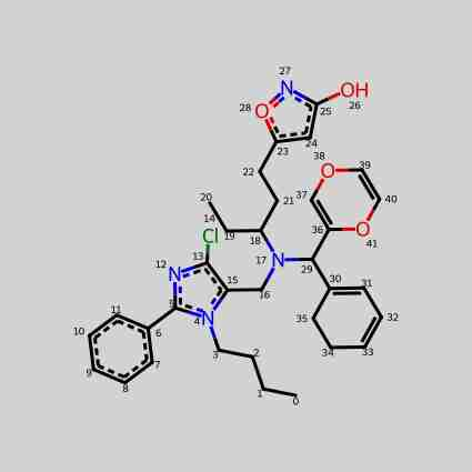 CCCCn1c(-c2ccccc2)nc(Cl)c1CN(C(CC)CCc1cc(O)no1)C(C1=CC=CCC1)C1=COC=CO1